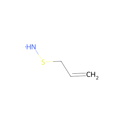 C=CCS[NH]